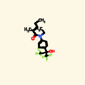 CCCC(C)C(=O)N(CC)c1ccc(C(O)(C(F)(F)F)C(F)(F)F)cc1